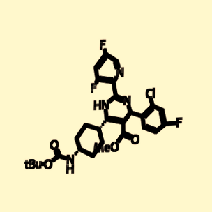 COC(=O)C1=C([C@H]2CC[C@@H](NC(=O)OC(C)(C)C)CC2)NC(c2ncc(F)cc2F)=NC1c1ccc(F)cc1Cl